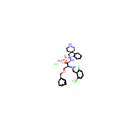 CS(=O)(=O)[N+]1(NC(=O)C(COCc2ccccc2)NCc2c(Cl)cccc2Cl)CC2(CCNCC2)c2ccccc21.Cl